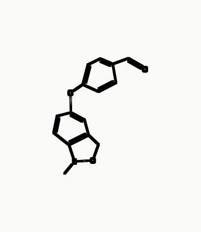 CB1OCc2cc(Oc3ccc(C=O)cc3)ccc21